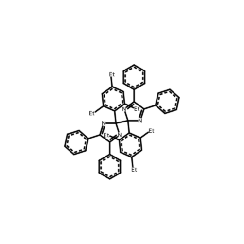 CCc1cc(CC)c(C2(C3(c4c(CC)cc(CC)cc4CC)N=C(c4ccccc4)C(c4ccccc4)=N3)N=C(c3ccccc3)C(c3ccccc3)=N2)c(CC)c1